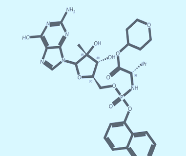 CC(C)[C@H](NP(=O)(OC[C@H]1OC(n2cnc3c(O)nc(N)nc32)[C@](C)(O)[C@@H]1O)Oc1cccc2ccccc12)C(=O)OC1CCOCC1